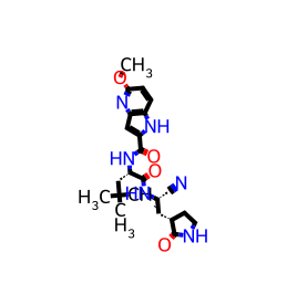 COc1ccc2[nH]c(C(=O)N[C@@H](CC(C)(C)C)C(=O)N[C@H](C#N)C[C@@H]3CCNC3=O)cc2n1